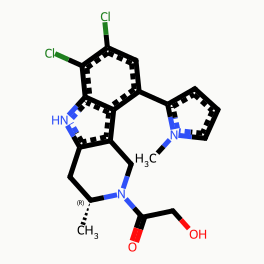 C[C@@H]1Cc2[nH]c3c(Cl)c(Cl)cc(-c4cccn4C)c3c2CN1C(=O)CO